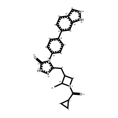 O=C(C1CC1)N1CC(Cc2n[nH]c(=O)n2-c2ccc(-c3ccc4cn[nH]c4c3)cc2)C1I